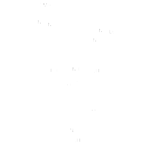 CCn1ccc(-c2cc(-c3ccn(COC)n3)cc([C@@H](C)NC(=O)c3cc(OCCN(C)C)ccc3C)c2)n1